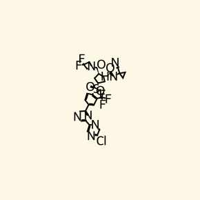 N#CC1(NC(=O)[C@@H]2C[C@@H](S(=O)(=O)c3ccc(-c4cncc(-c5cnc(Cl)cn5)n4)cc3C(F)(F)F)C[C@H]2C(=O)N2CC(F)(F)C2)CC1